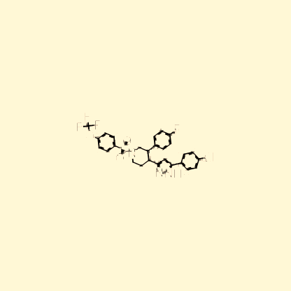 O=S(=O)(c1ccc(OC(F)(F)F)cc1)N1CCC(c2cc(-c3ccc(Cl)cc3)[nH]n2)C(c2ccc(F)cc2)C1